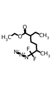 CCOC(=O)C(CC)CCC(C)C(F)(F)N=[N+]=[N-]